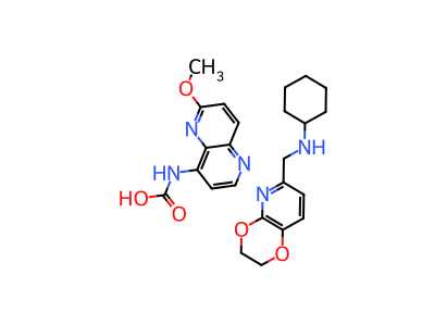 COc1ccc2nccc(NC(=O)O)c2n1.c1cc2c(nc1CNC1CCCCC1)OCCO2